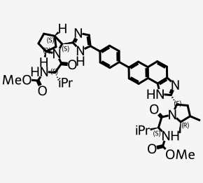 COC(=O)N[C@H](C(=O)N1[C@@H]2CC[C@@H](C2)[C@H]1c1ncc(-c2ccc(-c3ccc4c(ccc5nc([C@@H]6CC(C)[C@@H](C)N6C(=O)[C@@H](NC(=O)OC)C(C)C)[nH]c54)c3)cc2)[nH]1)C(C)C